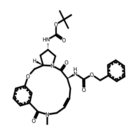 CN1CC=CC[C@H](NC(=O)OCc2ccccc2)C(=O)N2C[C@@H](NC(=O)OC(C)(C)C)C[C@H]2COc2cccc(c2)C1=O